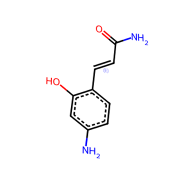 NC(=O)/C=C/c1ccc(N)cc1O